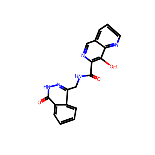 O=C(NCc1n[nH]c(=O)c2ccccc12)c1ncc2cccnc2c1O